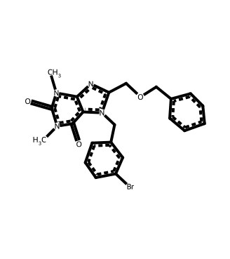 Cn1c(=O)c2c(nc(COCc3ccccc3)n2Cc2cccc(Br)c2)n(C)c1=O